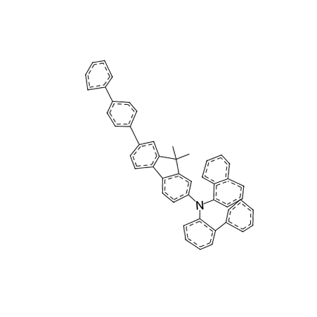 CC1(C)c2cc(-c3ccc(-c4ccccc4)cc3)ccc2-c2ccc(N(c3ccccc3-c3ccccc3)c3cccc4ccccc34)cc21